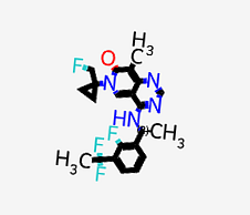 Cc1c(=O)n(C2(CF)CC2)cc2c(N[C@H](C)c3cccc(C(C)(F)F)c3F)ncnc12